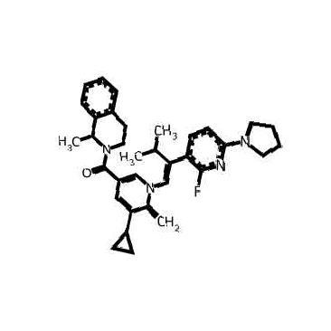 C=C1C(C2CC2)=CC(C(=O)N2CCc3ccccc3C2C)=CN1/C=C(/c1ccc(N2CCCC2)nc1F)C(C)C